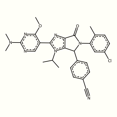 COc1nc(N(C)C)ncc1-c1nc2c(n1C(C)C)C(c1ccc(C#N)cc1)N(c1cc(Cl)ccc1C)C2=O